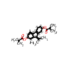 C=C(C)C(=O)Oc1ccc2c(c1)C(=C(C)C)c1cc(OC(=O)C(=C)C)ccc1-2